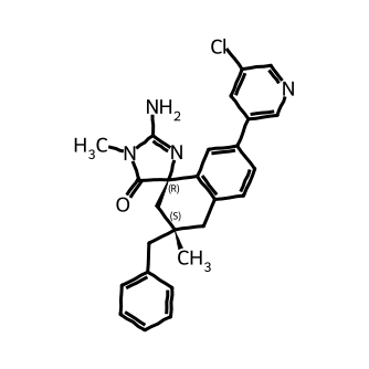 CN1C(=O)[C@]2(C[C@@](C)(Cc3ccccc3)Cc3ccc(-c4cncc(Cl)c4)cc32)N=C1N